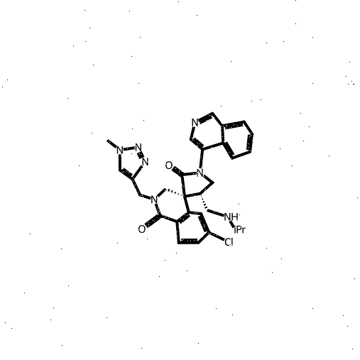 CC(C)NC[C@H]1CN(c2cncc3ccccc23)C(=O)[C@@]12CN(Cc1cn(C)nn1)C(=O)c1ccc(Cl)cc12